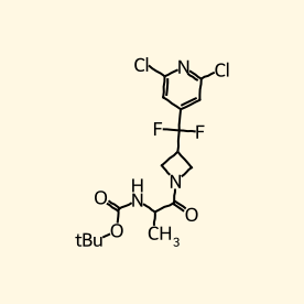 CC(NC(=O)OC(C)(C)C)C(=O)N1CC(C(F)(F)c2cc(Cl)nc(Cl)c2)C1